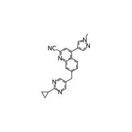 Cn1cc(-c2cc(C#N)nc3cc(Cc4cnc(C5CC5)nc4)ccc23)cn1